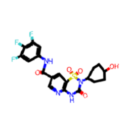 O=C(Nc1cc(F)c(F)c(F)c1)c1cnc2c(c1)S(=O)(=O)N(C1CCC(O)CC1)C(=O)N2